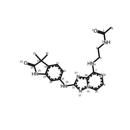 CC(=O)NCCNc1nccn2nc(Nc3ccc4c(c3)NC(=O)C4(C)C)nc12